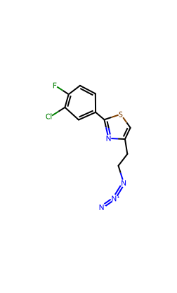 [N-]=[N+]=NCCc1csc(-c2ccc(F)c(Cl)c2)n1